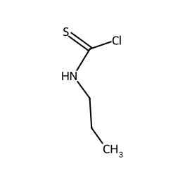 CCCNC(=S)Cl